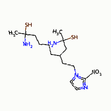 CC(N)(S)CCCCC(CCn1ccnc1[N+](=O)[O-])CC(C)(N)S